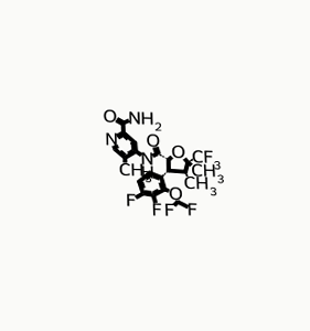 Cc1cnc(C(N)=O)cc1NC(=O)[C@@H]1O[C@](C)(C(F)(F)F)[C@H](C)[C@@H]1c1ccc(F)c(F)c1OC(F)F